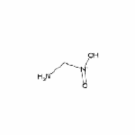 NC[N+](=O)O